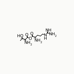 C[C@@H](O)[C@H](N)C(=O)OC(=O)[C@@H](N)CCCNC(=N)N